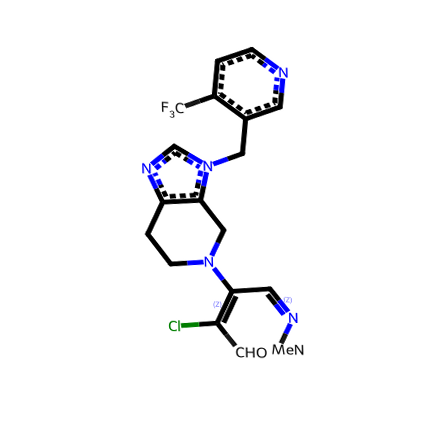 CN/N=C\C(=C(\Cl)C=O)N1CCc2ncn(Cc3cnccc3C(F)(F)F)c2C1